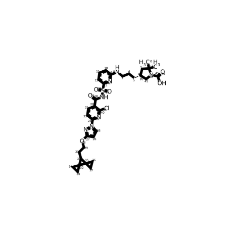 CC1(C)C[C@@H](CCCNc2cccc(S(=O)(=O)NC(=O)c3ccc(-n4ccc(OCCC5C6(CC6)C56CC6)n4)nc3Cl)n2)CN1C(=O)O